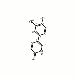 O=c1ccc(-c2ccc(Cl)c(Cl)c2)n[nH]1